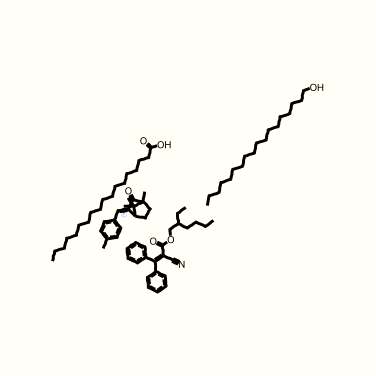 CCCCC(CC)COC(=O)C(C#N)=C(c1ccccc1)c1ccccc1.CCCCCCCCCCCCCCCCCC(=O)O.CCCCCCCCCCCCCCCCCCO.Cc1ccc(/C=C2/C(=O)C3(C)CCC2C3(C)C)cc1